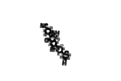 CC1(C)c2cc(N3CCC(C4CNCCO4)CC3)c(Br)cc2C(=O)c2c1[nH]c1cc(C#N)ccc21